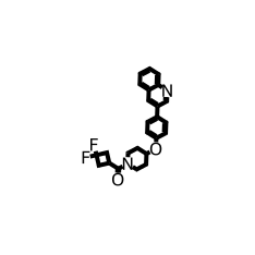 O=C(C1CC(F)(F)C1)N1CCC(Oc2ccc(-c3cnc4ccccc4c3)cc2)CC1